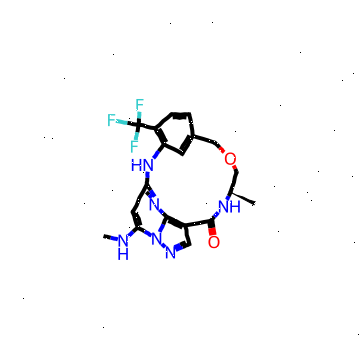 CNc1cc2nc3c(cnn13)C(=O)N[C@H](C)COCc1ccc(C(F)(F)F)c(c1)N2